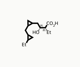 CCC1CC1CC1CC1C[C@@H](O)[C@@H](CC)C(=O)O